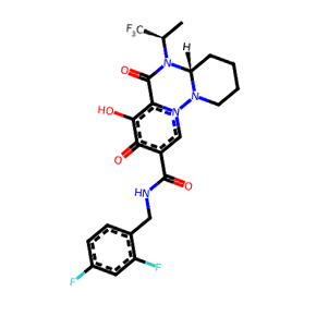 C[C@@H](N1C(=O)c2c(O)c(=O)c(C(=O)NCc3ccc(F)cc3F)cn2N2CCCC[C@@H]12)C(F)(F)F